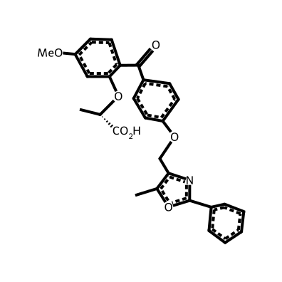 COc1ccc(C(=O)c2ccc(OCc3nc(-c4ccccc4)oc3C)cc2)c(O[C@@H](C)C(=O)O)c1